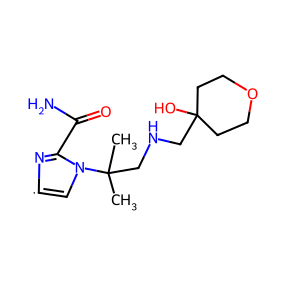 CC(C)(CNCC1(O)CCOCC1)n1c[c]nc1C(N)=O